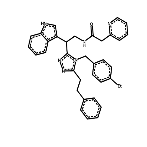 CCc1ccc(Cn2c(CCc3ccccc3)nnc2C(CNC(=O)Cc2ccccn2)c2c[nH]c3ccccc23)cc1